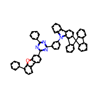 c1ccc(-c2nc(-c3cccc(-n4c5ccccc5c5ccc6c(c54)-c4ccccc4C64c5ccccc5-c5ccccc54)c3)nc(-c3ccc4c(c3)oc3c(-c5ccccc5)cccc34)n2)cc1